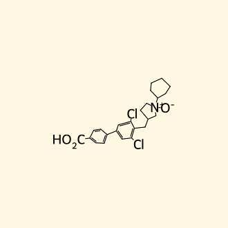 O=C(O)c1ccc(-c2cc(Cl)c(CC3CC[N+]([O-])(C4CCCCC4)C3)c(Cl)c2)cc1